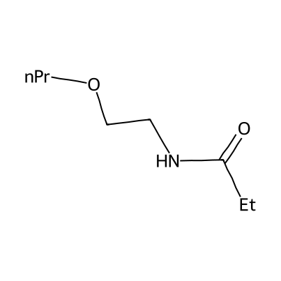 [CH2]CCOCCNC(=O)CC